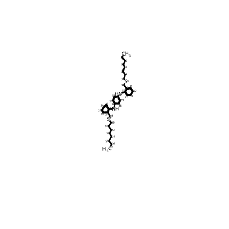 CCCCCCCCSCc1ccccc1Nc1ccc(Nc2ccccc2CSCCCCCCCC)cc1